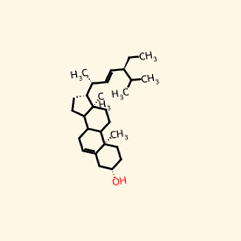 CC[C@H](/C=C/[C@@H](C)[C@H]1CCC2C3CC=C4C[C@@H](O)CC[C@]4(C)C3CC[C@@]21C)C(C)C